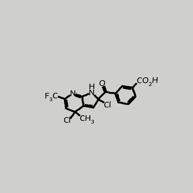 CC1(Cl)C=C(C(F)(F)F)N=C2NC(Cl)(C(=O)c3cccc(C(=O)O)c3)C=C21